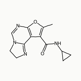 Cc1oc2c(c1C(=O)NC1CC1)C1=NCCN1C=N2